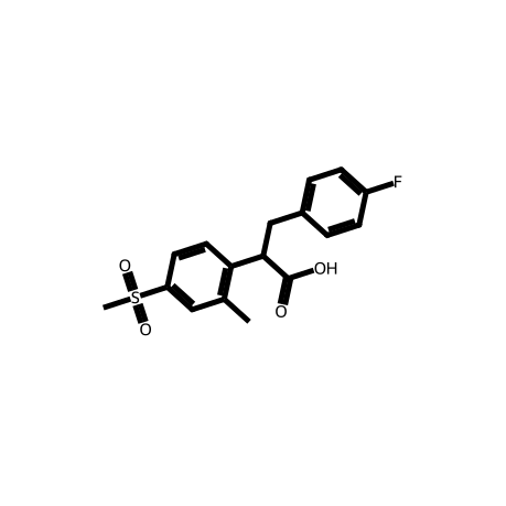 Cc1cc(S(C)(=O)=O)ccc1C(Cc1ccc(F)cc1)C(=O)O